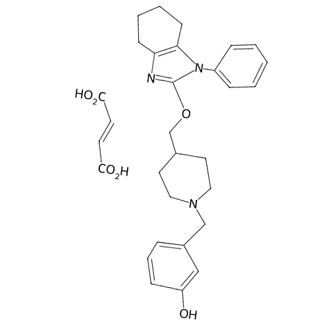 O=C(O)/C=C/C(=O)O.Oc1cccc(CN2CCC(COc3nc4c(n3-c3ccccc3)CCCC4)CC2)c1